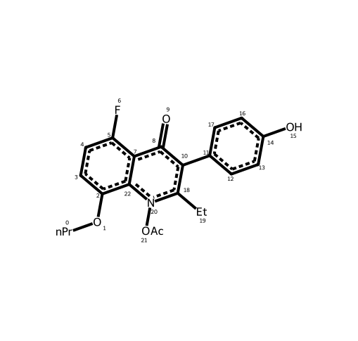 CCCOc1ccc(F)c2c(=O)c(-c3ccc(O)cc3)c(CC)n(OC(C)=O)c12